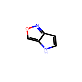 c1cc2nocc2[nH]1